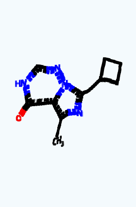 Cc1nc(C2CCC2)n2nc[nH]c(=O)c12